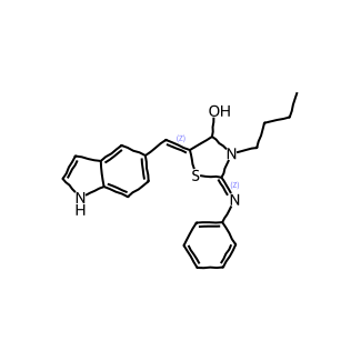 CCCCN1/C(=N/c2ccccc2)S/C(=C\c2ccc3[nH]ccc3c2)C1O